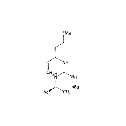 C=C[C@H](CCSC)NC(NCCCC)N[C@@H](C)C(C)=O